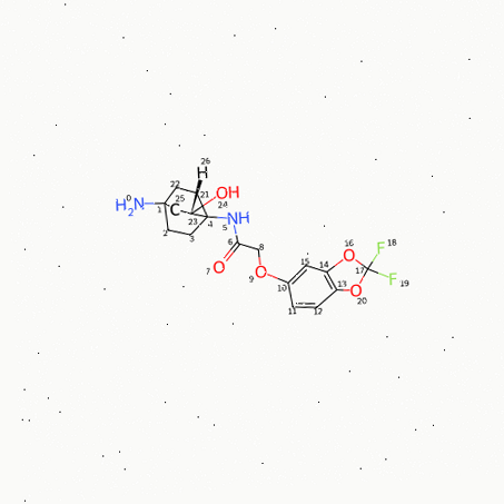 NC12CCC(NC(=O)COc3ccc4c(c3)OC(F)(F)O4)(CC1)[C@@H](O)C2